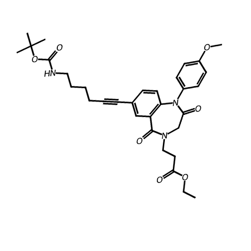 CCOC(=O)CCN1CC(=O)N(c2ccc(OC)cc2)c2ccc(C#CCCCCNC(=O)OC(C)(C)C)cc2C1=O